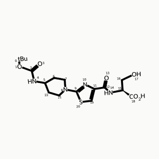 CC(C)(C)OC(=O)NC1CCN(c2nc(C(=O)N[C@@H](CO)C(=O)O)cs2)CC1